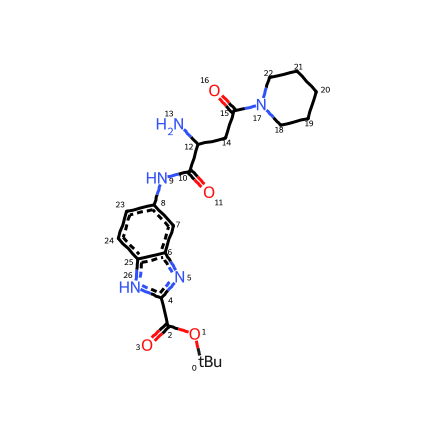 CC(C)(C)OC(=O)c1nc2cc(NC(=O)C(N)CC(=O)N3CCCCC3)ccc2[nH]1